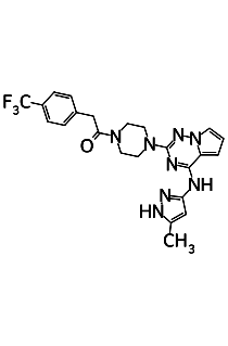 Cc1cc(Nc2nc(N3CCN(C(=O)Cc4ccc(C(F)(F)F)cc4)CC3)nn3cccc23)n[nH]1